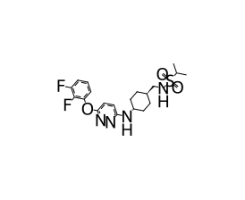 CC(C)S(=O)(=O)NC[C@H]1CC[C@H](Nc2ccc(Oc3cccc(F)c3F)nn2)CC1